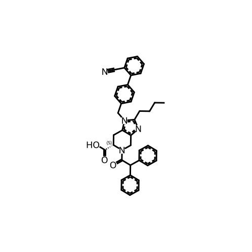 CCCCc1nc2c(n1Cc1ccc(-c3ccccc3C#N)cc1)C[C@@H](C(=O)O)N(C(=O)C(c1ccccc1)c1ccccc1)C2